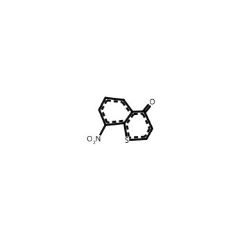 O=c1ccsc2c([N+](=O)[O-])cccc12